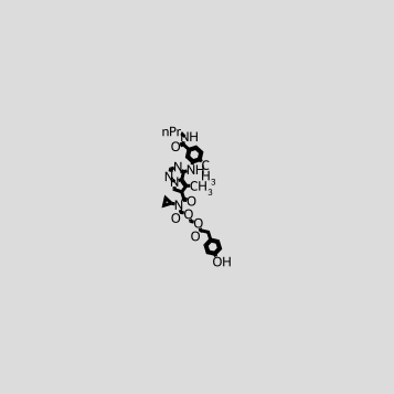 CCCNC(=O)c1ccc(C)c(NC2=NC=NN3CC(C(=O)N(C(=O)OCOC(=O)Cc4ccc(O)cc4)C4CC4)C(C)=C23)c1